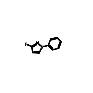 Fc1ccn(-c2ccccc2)n1